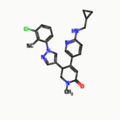 CN1CC(c2cnn(-c3cccc(Cl)c3C#N)c2)C(c2ccc(NCC3CC3)nc2)=CC1=O